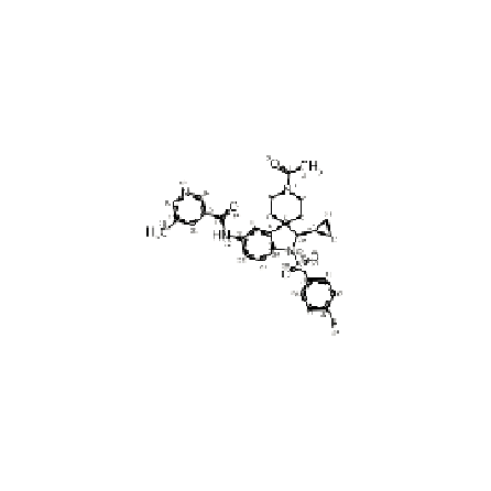 CC(=O)N1CCC2(CC1)c1cc(NC(=O)c3cncc(C)c3)ccc1N(S(=O)(=O)c1ccc(F)cc1)C2C1CC1